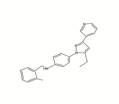 CCc1cc(-c2cccnc2)nn1-c1ccc(NCc2ccccc2C)cc1